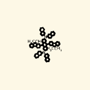 CC1(C)C2=C(CCC(c3c4cc(N(C5=CC=C6C=CC=CC6C5)c5ccc6ccccc6c5)ccc4c(-c4ccc5c(c4)C(C)(C)c4ccccc4-5)c4cc(N(c5ccc6c(c5)CCC=C6)c5ccc6ccccc6c5)ccc34)=C2)c2ccccc21